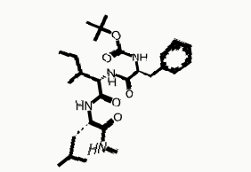 CCC(C)[C@H](NC(=O)[C@H](Cc1ccccc1)NC(=O)OC(C)(C)C)C(=O)N[C@@H](CC(C)C)C(=O)NC